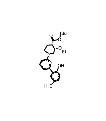 CCO[C@@H]1CN(c2cccc(-c3cc(C)ccc3O)n2)CC[C@@H]1C(=O)OC(C)(C)C